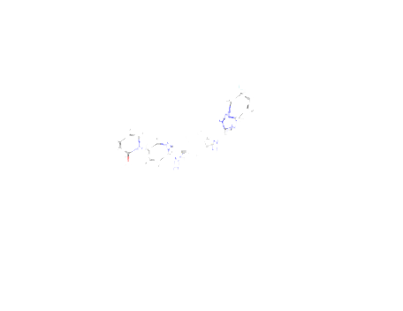 O=c1ccccn1-c1ccc(N[C@H]2CC[C@H](Nc3nc4ccc(F)cn4n3)C2)nc1